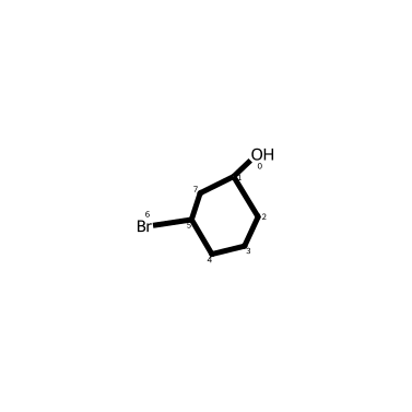 OC1CCCC(Br)C1